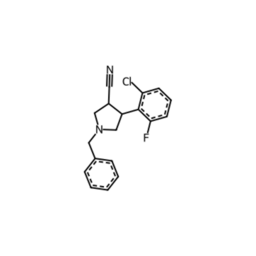 N#CC1CN(Cc2ccccc2)CC1c1c(F)cccc1Cl